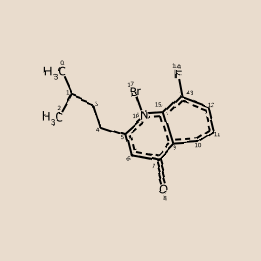 CC(C)CCc1cc(=O)c2cccc(F)c2n1Br